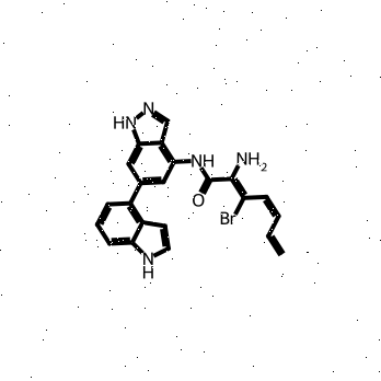 C=C/C=C\C(Br)=C(/N)C(=O)Nc1cc(-c2cccc3[nH]ccc23)cc2[nH]ncc12